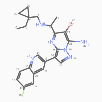 CCC1(CNC(C)c2nc3c(-c4cnc5ccc(F)cc5c4)cnn3c(N)c2Br)CC1